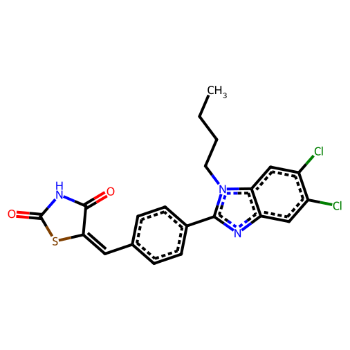 CCCCn1c(-c2ccc(C=C3SC(=O)NC3=O)cc2)nc2cc(Cl)c(Cl)cc21